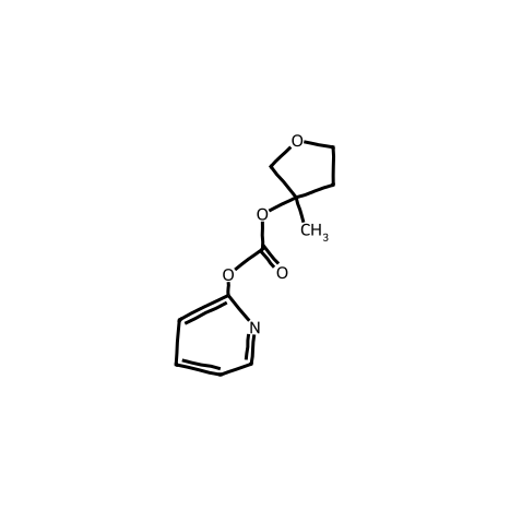 CC1(OC(=O)Oc2ccccn2)CCOC1